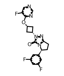 O=c1n2c(nn1[C@H]1C[C@H](Oc3ncncc3F)C1)CC[C@H]2c1cc(F)cc(F)c1